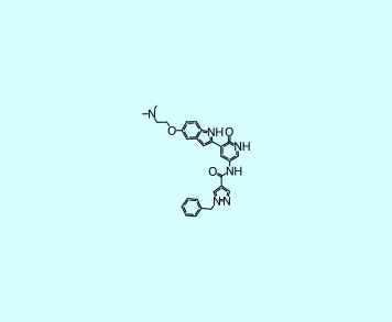 CN(C)CCOc1ccc2[nH]c(-c3cc(NC(=O)c4cnn(Cc5ccccc5)c4)c[nH]c3=O)cc2c1